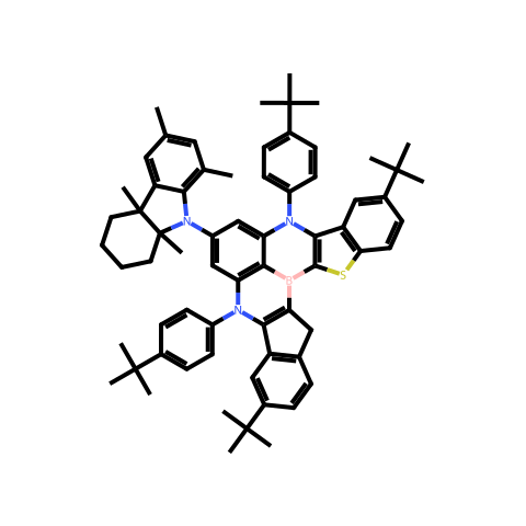 Cc1cc(C)c2c(c1)C1(C)CCCCC1(C)N2c1cc2c3c(c1)N(c1ccc(C(C)(C)C)cc1)c1c(sc4ccc(C(C)(C)C)cc14)B3C1=C(c3cc(C(C)(C)C)ccc3C1)N2c1ccc(C(C)(C)C)cc1